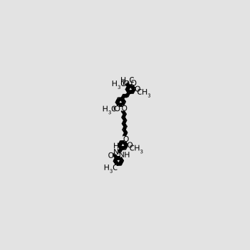 COc1cc(C2NC(=O)c3cc(C)ccc3N2)ccc1OCCCCCCCCCOc1cc(C=Cc2cc(OC)c(OC)c(OC)c2)ccc1OC